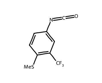 CSc1ccc(N=C=O)cc1C(F)(F)F